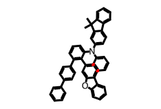 CC1(C)c2ccccc2-c2ccc(N(c3ccccc3)c3cccc(-c4ccc(-c5ccccc5)cc4)c3-c3ccc4c(c3)oc3ccccc34)cc21